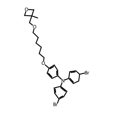 CC1(COCCCCCCOc2ccc(N(C3=CCC(Br)C=C3)c3ccc(Br)cc3)cc2)COC1